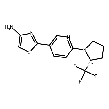 Nc1csc(-c2ccc(N3CCC[C@@H]3C(F)(F)F)nc2)n1